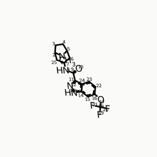 CN1C2CCC1CC(NC(=O)c1n[nH]c3cc(OC(F)(F)F)ccc13)C2